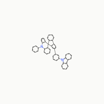 c1ccc(N2c3ccccc3C3(c4ccccc4-c4ccc(-c5cccc(-n6c7ccccc7c7ccccc76)c5)cc43)c3ccccc32)cc1